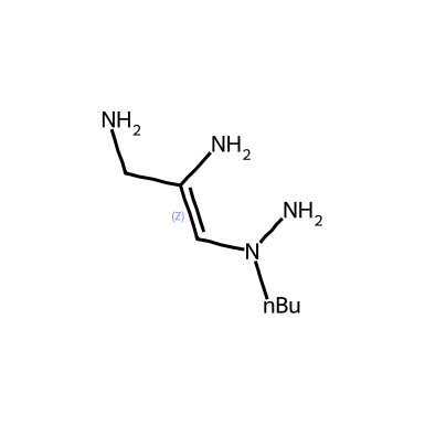 CCCCN(N)/C=C(\N)CN